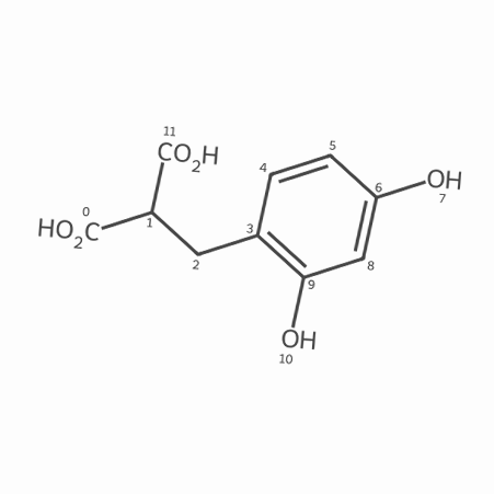 O=C(O)C(Cc1ccc(O)cc1O)C(=O)O